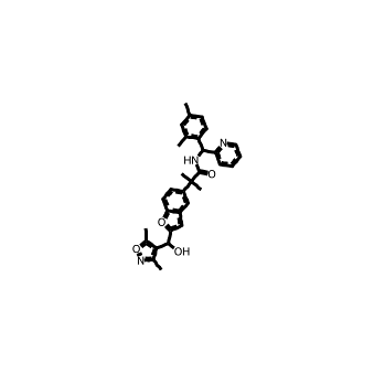 Cc1ccc(C(NC(=O)C(C)(C)c2ccc3oc(C(O)c4c(C)noc4C)cc3c2)c2ccccn2)c(C)c1